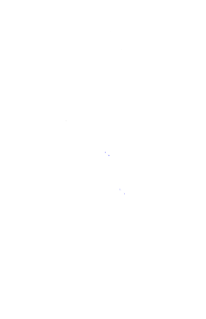 C=CCOCCC(CC(=O)O)N1CCN(c2ccc(OC(F)(F)F)cc2)CC1